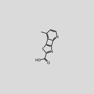 Cc1ccnc2c1-c1sc(C(=O)O)nc1-2